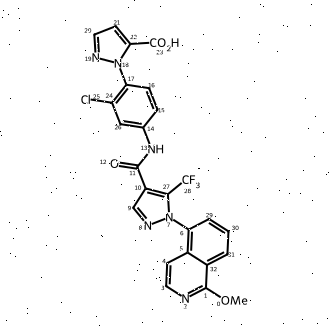 COc1nccc2c(-n3ncc(C(=O)Nc4ccc(-n5nccc5C(=O)O)c(Cl)c4)c3C(F)(F)F)cccc12